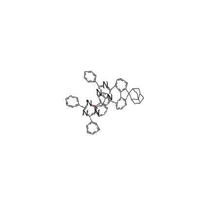 c1ccc(-c2nc(-c3ccccc3)nc(-c3cccc(-c4cccc5c4-c4c(-c6nc(-c7ccccc7)nc(-c7ccccc7)n6)cccc4C54C5CC6CC(C5)CC4C6)c3)n2)cc1